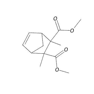 COC(=O)C1(C)C2C=CC(C2)C1(C)C(=O)OC